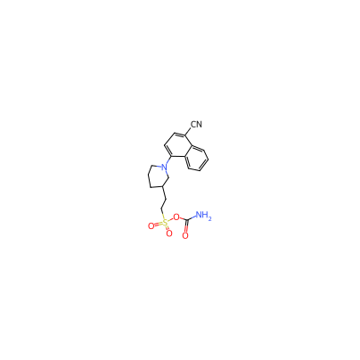 N#Cc1ccc(N2CCCC(CCS(=O)(=O)OC(N)=O)C2)c2ccccc12